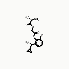 CC(C)c1cccc([C@H](C)C2CC2)c1OC(=O)COC(=O)[C@H](C)N